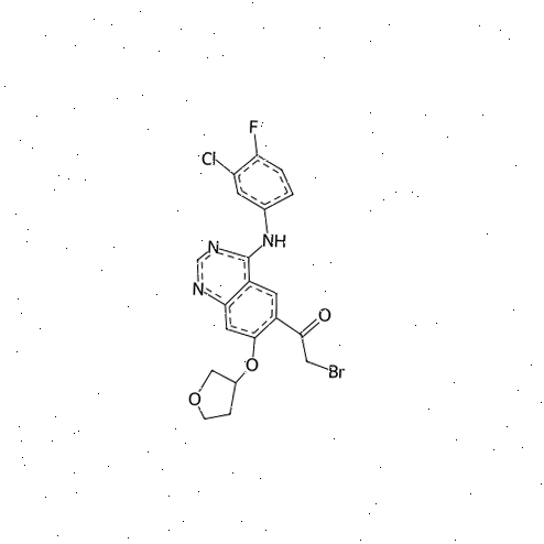 O=C(CBr)c1cc2c(Nc3ccc(F)c(Cl)c3)ncnc2cc1OC1CCOC1